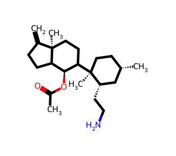 C=C1CCC2[C@H](OC(C)=O)C([C@@]3(C)CC[C@H](C)C[C@@H]3CCN)CC[C@]12C